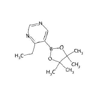 CCc1ncncc1B1OC(C)(C)C(C)(C)O1